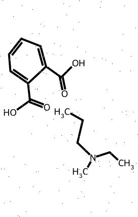 CCCN(C)CC.O=C(O)c1ccccc1C(=O)O